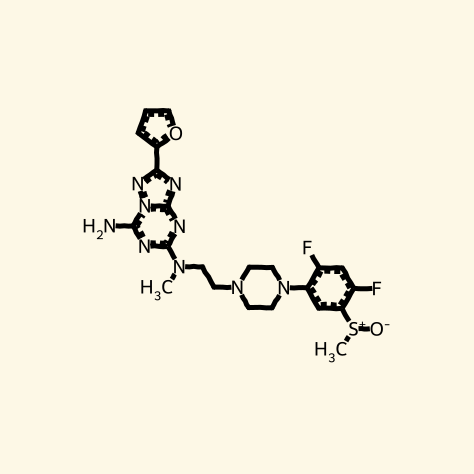 CN(CCN1CCN(c2cc([S+](C)[O-])c(F)cc2F)CC1)c1nc(N)n2nc(-c3ccco3)nc2n1